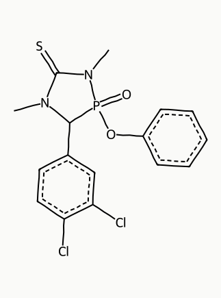 CN1C(=S)N(C)P(=O)(Oc2ccccc2)C1c1ccc(Cl)c(Cl)c1